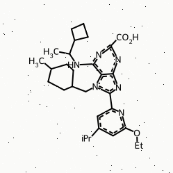 CCOc1cc(C(C)C)cc(-c2nc3nc(C(=O)O)nc(NC(C)C4CCC4)c3n2CC2CCC(C)CC2)n1